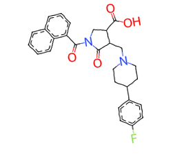 O=C(O)C1CN(C(=O)c2cccc3ccccc23)C(=O)C1CN1CCC(c2ccc(F)cc2)CC1